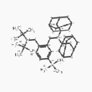 CC(C)(C)P(Cc1ccc([Si](C)(C)C)cc1CP(C12CC3CC(CC(C3)C1)C2)C12CC3CC(CC(C3)C1)C2)C(C)(C)C